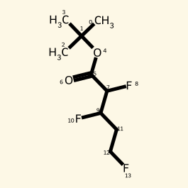 CC(C)(C)OC(=O)C(F)C(F)CCF